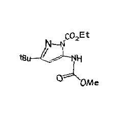 CCOC(=O)n1nc(C(C)(C)C)cc1NC(=O)OC